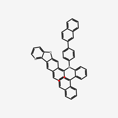 c1ccc(N(c2ccc(-c3ccc4ccccc4c3)cc2)c2cccc3cc4c(cc23)oc2cccnc24)c(-c2cccc3ccccc23)c1